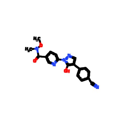 CON(C)C(=O)c1ccc(-n2ncc(-c3ccc(C#N)cc3)c2O)nc1